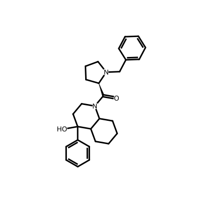 O=C([C@H]1CCCN1Cc1ccccc1)N1CCC(O)(c2ccccc2)C2CCCCC21